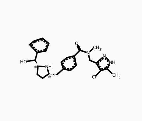 Cc1[nH]nc(CN(C)C(=O)c2ccc(C[C@@H]3CC[C@H](C(O)c4ccccc4)N3)cc2)c1Cl